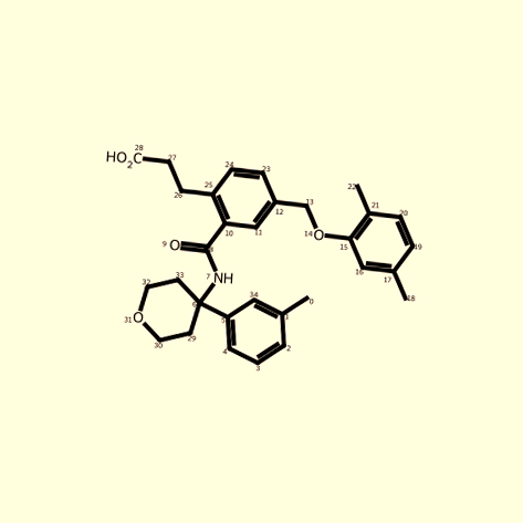 Cc1cccc(C2(NC(=O)c3cc(COc4cc(C)ccc4C)ccc3CCC(=O)O)CCOCC2)c1